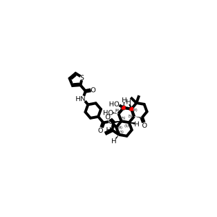 C=C1C(=O)[C@]23[C@H](OC(=O)C4CCC(NC(=O)c5cccs5)CC4)[C@H]1CC[C@H]2[C@@]12CO[C@@]3(O)[C@@H](O)[C@@H]1C(C)(C)CCC2=O